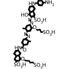 Cc1cc(C(=O)Nc2ccc3cc(S(=O)(=O)O)cc(OCCCCS(=O)(=O)O)c3c2)ccc1N=Nc1cc(OCCCS(=O)(=O)O)c(N=Nc2c(S(=O)(=O)O)cc3cc(Nc4ccc(N)cc4)ccc3c2O)cc1C